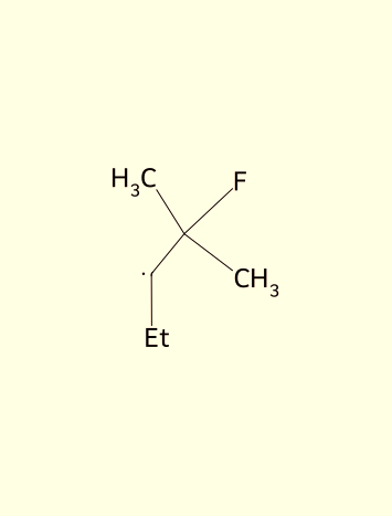 CC[CH]C(C)(C)F